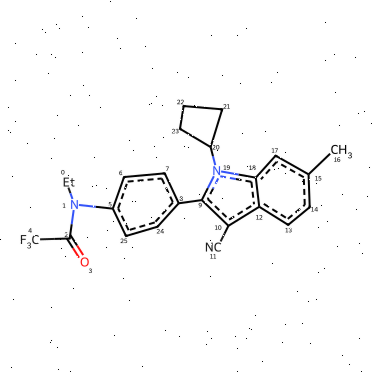 CCN(C(=O)C(F)(F)F)c1ccc(-c2c(C#N)c3ccc(C)cc3n2C2CCC2)cc1